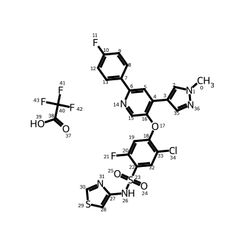 Cn1cc(-c2cc(-c3ccc(F)cc3)ncc2Oc2cc(F)c(S(=O)(=O)Nc3cscn3)cc2Cl)cn1.O=C(O)C(F)(F)F